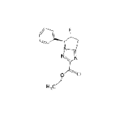 CCOC(=O)c1nc2n(n1)[C@@H](c1ccccc1)[C@H](F)C2